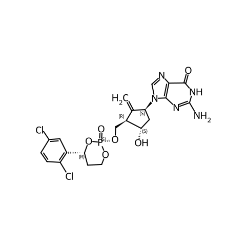 C=C1[C@H](CO[P@]2(=O)OCC[C@H](c3cc(Cl)ccc3Cl)O2)[C@@H](O)C[C@@H]1n1cnc2c(=O)[nH]c(N)nc21